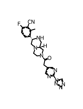 Cc1c([C@H]2CN3CCN(C(=O)Cc4cnc(-n5cnnn5)nc4)C[C@H]3CN2)ccc(F)c1C#N